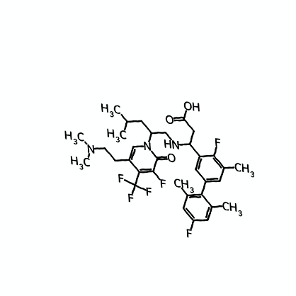 Cc1cc(-c2c(C)cc(F)cc2C)cc(C(CC(=O)O)NCC(CC(C)C)n2cc(CCN(C)C)c(C(F)(F)F)c(F)c2=O)c1F